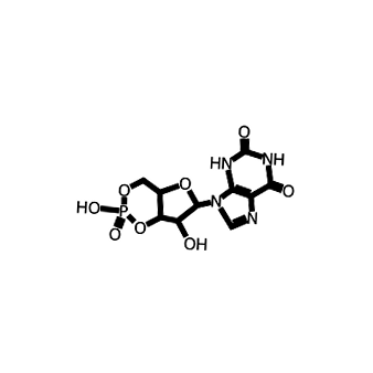 O=c1[nH]c(=O)c2ncn(C3OC4COP(=O)(O)OC4C3O)c2[nH]1